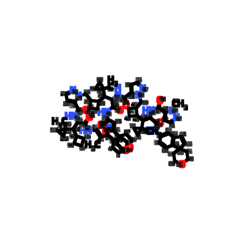 Cc1c(C2CCOCC2)noc1NC(=O)[C@@H](NC(=O)c1ccnn1CC1CCC1C([C@H](NC(=O)c1ccnn1CC1CCC1C([C@H](NC(=O)c1ccnn1C)C(=O)Nc1ccc2c(c1)C=CC21CCOCC1)C1(C)CC1)C(=O)Nc1cc(C2CCOCC2)on1)C1(C)CC1)C(C1CCC1)C1(C)CC1